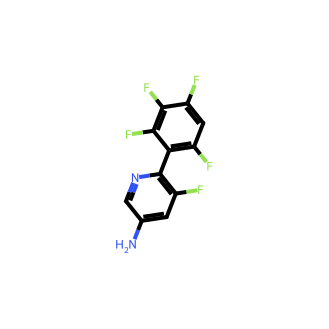 Nc1cnc(-c2c(F)cc(F)c(F)c2F)c(F)c1